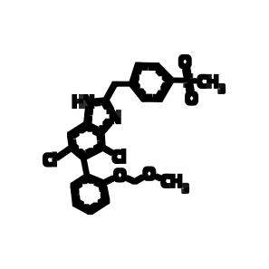 COCOc1ccccc1-c1c(Cl)cc2[nH]c(Cc3ccc(S(C)(=O)=O)cc3)nc2c1Cl